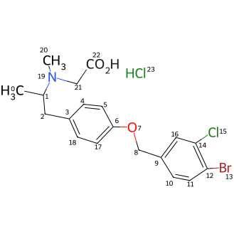 CC(Cc1ccc(OCc2ccc(Br)c(Cl)c2)cc1)N(C)CC(=O)O.Cl